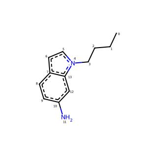 CCCCn1ccc2ccc(N)cc21